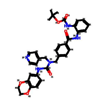 CC(C)(C)OC(=O)Nc1ccccc1NC(=O)c1ccc(CN(Cc2ccncc2)C(=O)Nc2ccc3c(c2)OCCO3)cc1